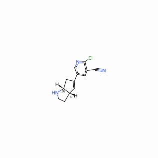 N#Cc1cc(C2=C[C@@H]3CCN[C@@H]3C2)cnc1Cl